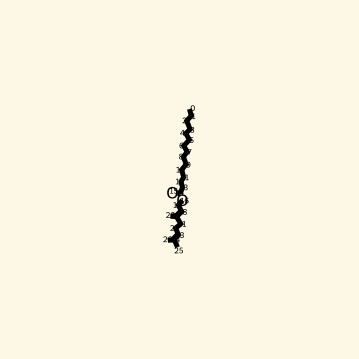 CCCCCCCCCCCCCCC(=O)OC/C=C(\C)CCC=C(C)C